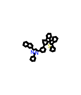 c1ccc(-c2nc(-c3cccc(-c4ccc5c(c4)C4(c6ccccc6-5)c5ccccc5-c5c4sc4ccccc54)c3)cc(-c3ccc4ccccc4c3)n2)cc1